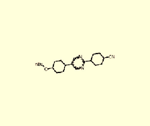 CCCCOC1CCC(c2cnc(C3CCC(C#N)CC3)nc2)CC1